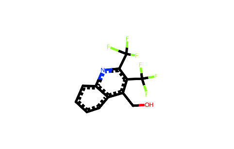 OCc1c(C(F)(F)F)c(C(F)(F)F)nc2ccccc12